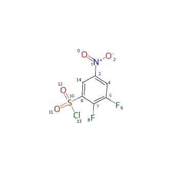 O=[N+]([O-])c1cc(F)c(F)c(S(=O)(=O)Cl)c1